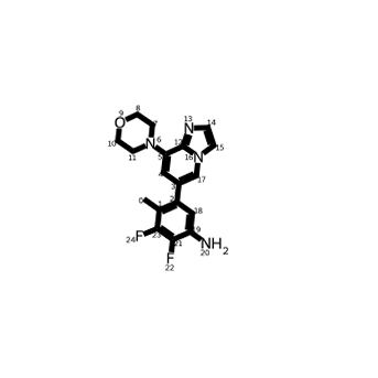 Cc1c(-c2cc(N3CCOCC3)c3nccn3c2)cc(N)c(F)c1F